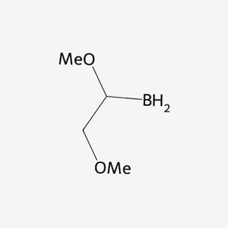 BC(COC)OC